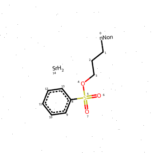 CCCCCCCCCCCCOS(=O)(=O)c1ccccc1.[SrH2]